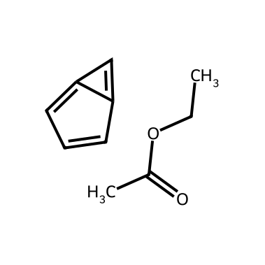 CCOC(C)=O.c1cc2cc-2c1